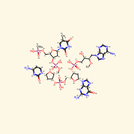 CCO[C@H](Cn1cnc2c(N)ncnc21)[C@H](O)COP(=O)(O)O[C@@H]1C[C@H](n2cnc3c(=O)[nH]c(N)nc32)O[C@@H]1COP(=O)(O)O[C@@H]1C[C@H](n2ccc(N)nc2=O)O[C@@H]1COP(=O)(O)O[C@@H]1C[C@H](n2cc(C)c(=O)[nH]c2=O)O[C@@H]1COP(=O)(O)OC